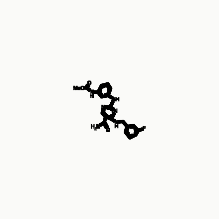 COC(=O)Nc1cccc(Nc2ncc(C(N)=O)c(NCc3cccc(F)c3)n2)c1